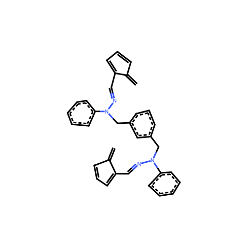 C=C1C=CC=C1/C=N/N(Cc1cccc(CN(/N=C/C2=CC=CC2=C)c2ccccc2)c1)c1ccccc1